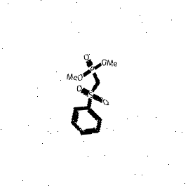 COP(=O)(CS(=O)(=O)c1ccccc1)OC